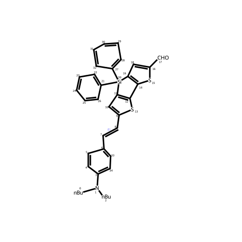 CCCCN(CCCC)c1ccc(/C=C/c2cc3c(s2)-c2sc(C=O)cc2[Si]3(c2ccccc2)c2ccccc2)cc1